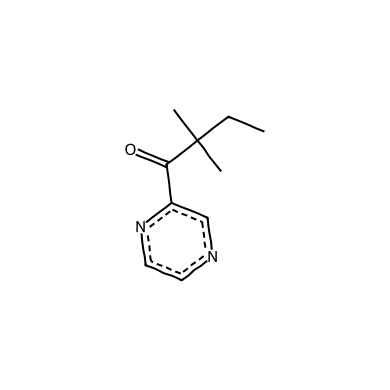 CCC(C)(C)C(=O)c1cnccn1